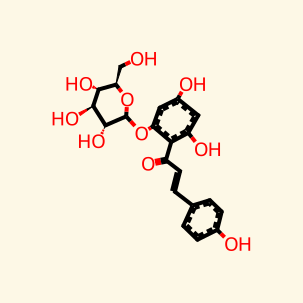 O=C(/C=C/c1ccc(O)cc1)c1c(O)cc(O)cc1OC1O[C@H](CO)[C@@H](O)[C@H](O)[C@H]1O